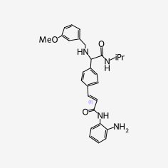 COc1cccc(CNC(C(=O)NC(C)C)c2ccc(/C=C/C(=O)Nc3ccccc3N)cc2)c1